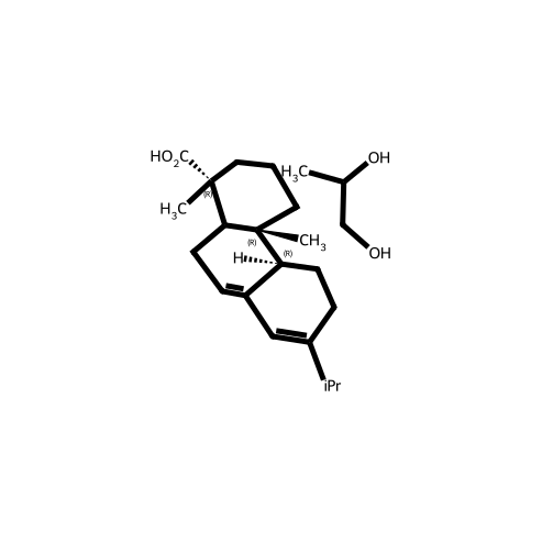 CC(C)C1=CC2=CCC3[C@](C)(C(=O)O)CCC[C@]3(C)[C@H]2CC1.CC(O)CO